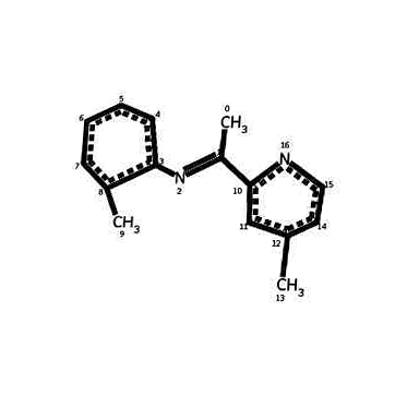 C/C(=N\c1ccccc1C)c1cc(C)ccn1